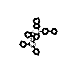 c1ccc(C2=NC(c3ccc(N(c4ccc(-c5ccccc5)cc4)c4ccc5ccccc5c4)c4oc5ccccc5c34)NC(c3ccccc3)=N2)cc1